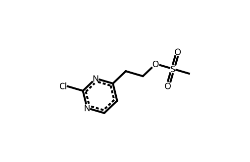 CS(=O)(=O)OCCc1ccnc(Cl)n1